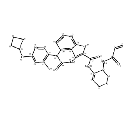 C=CC(=O)N[C@H]1CCCC=C1NC(=O)c1sc2nccc3c2c1NC(=O)N3c1cnc(OC2CCC2)cc1C